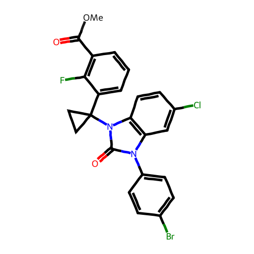 COC(=O)c1cccc(C2(n3c(=O)n(-c4ccc(Br)cc4)c4cc(Cl)ccc43)CC2)c1F